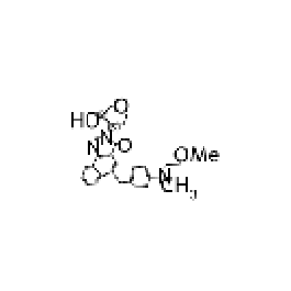 COCCN(C)c1ccc(Cc2cc3c(=O)n([C@H]4CCOC[C@@H]4O)cnc3c3ccccc23)cc1